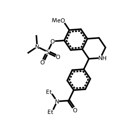 CCN(CC)C(=O)c1ccc(C2NCCc3cc(OC)c(OS(=O)(=O)N(C)C)cc32)cc1